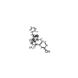 CN1CC[C@]2(C)c3cc(O)ccc3C[C@@H]1[C@@H]2NC(=O)Cc1ccsc1